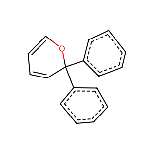 C1=COC(c2ccccc2)(c2ccccc2)C=C1